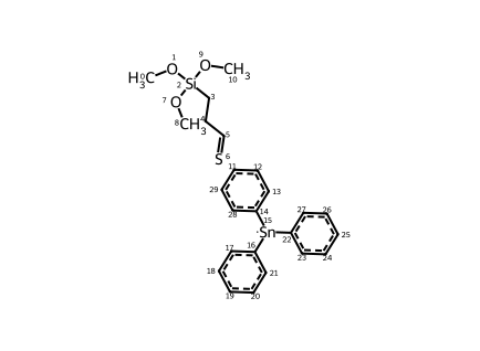 CO[Si](CCC=S)(OC)OC.c1cc[c]([Sn]([c]2ccccc2)[c]2ccccc2)cc1